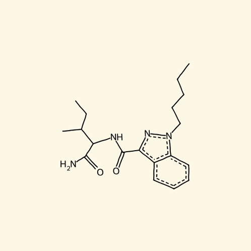 CCCCCn1nc(C(=O)NC(C(N)=O)C(C)CC)c2ccccc21